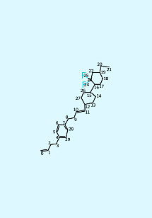 C=CCCc1ccc(CC/C=C/C2CCC(C3CCC(CC)CC3(F)F)CC2)cc1